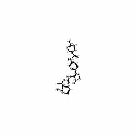 C[C@@H](OC(=O)Nc1c(-c2ccc(NC(=O)c3cnc(Cl)nc3)cn2)nnn1C)c1cccnc1F